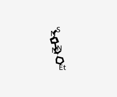 CC[C@H]1CC[C@H](c2cnc(-c3ccc(N=C=S)cc3)nc2)CC1